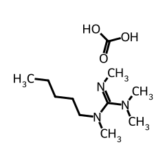 CCCCCN(C)C(=NC)N(C)C.O=C(O)O